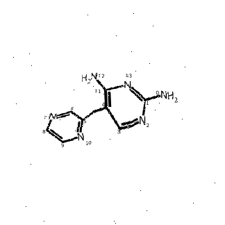 Nc1ncc(-c2cnccn2)c(N)n1